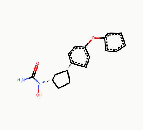 NC(=O)N(O)[C@H]1CC[C@@H](c2ccc(Oc3ccccc3)cc2)C1